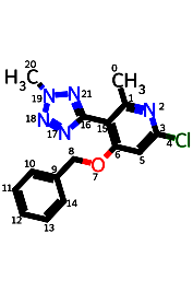 Cc1nc(Cl)cc(OCc2ccccc2)c1-c1nnn(C)n1